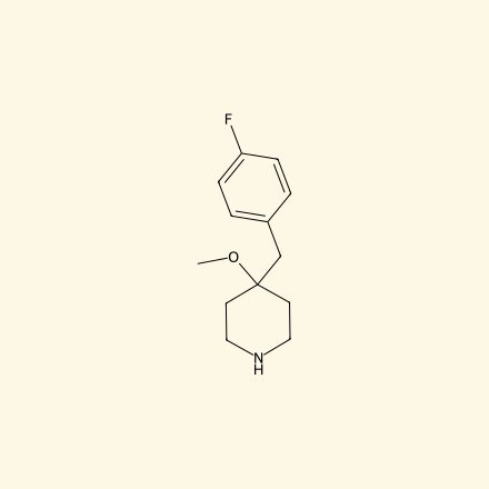 COC1(Cc2ccc(F)cc2)CCNCC1